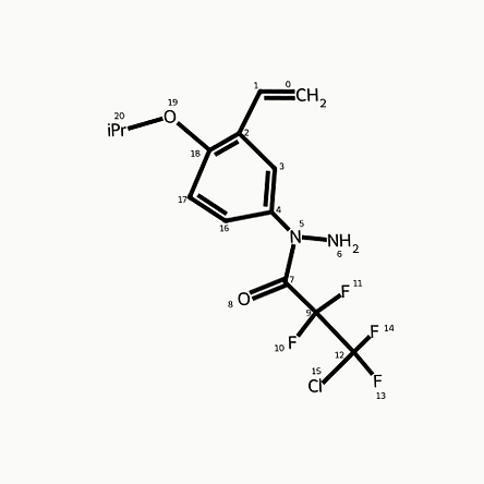 C=Cc1cc(N(N)C(=O)C(F)(F)C(F)(F)Cl)ccc1OC(C)C